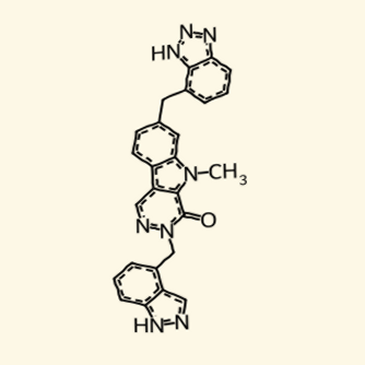 Cn1c2cc(Cc3cccc4nn[nH]c34)ccc2c2cnn(Cc3cccc4[nH]ncc34)c(=O)c21